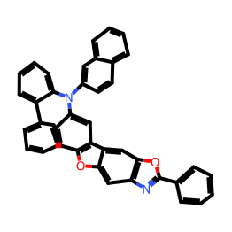 c1ccc(-c2nc3cc4oc5ccc(N(c6ccc7ccccc7c6)c6ccccc6-c6ccccc6)cc5c4cc3o2)cc1